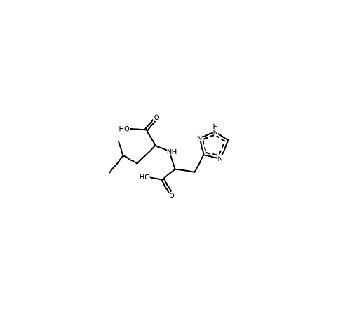 CC(C)CC(NC(Cc1nc[nH]n1)C(=O)O)C(=O)O